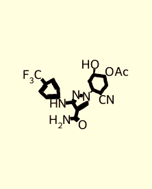 CC(=O)O[C@@H]1C[C@@H](C#N)[C@H](n2cc(C(N)=O)c(Nc3ccc(C(F)(F)F)cc3)n2)C[C@H]1O